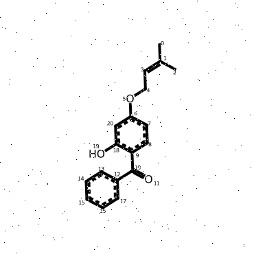 CC(C)=CCOc1ccc(C(=O)c2ccccc2)c(O)c1